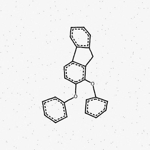 c1ccc(Oc2ccc3c(c2Oc2ccccc2)Cc2ccccc2-3)cc1